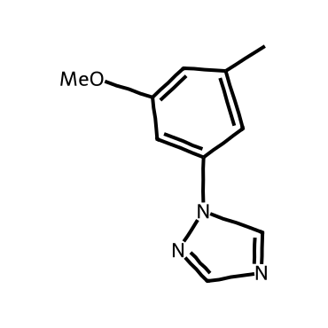 COc1cc(C)cc(-n2cncn2)c1